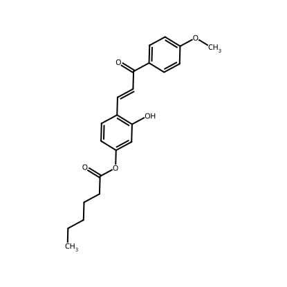 CCCCCC(=O)Oc1ccc(C=CC(=O)c2ccc(OC)cc2)c(O)c1